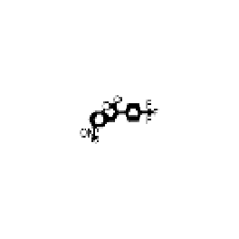 O=c1oc2ccc([N+](=O)[O-])cc2cc1-c1ccc(C(F)(F)F)cc1